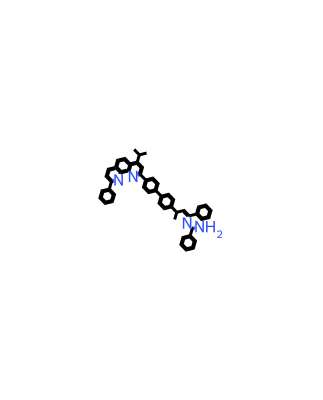 CC(C)c1cc(-c2ccc(-c3ccc(C(C)/C=C(\N=C(/N)c4ccccc4)c4ccccc4)cc3)cc2)nc2c1ccc1ccc(-c3ccccc3)nc12